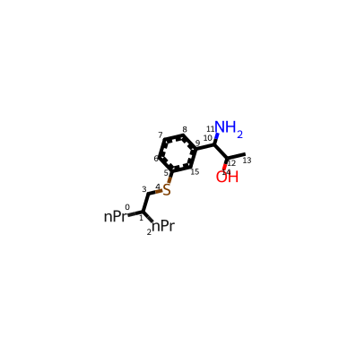 CCCC(CCC)CSc1cccc(C(N)C(C)O)c1